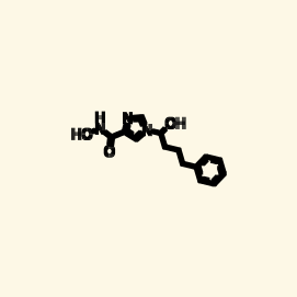 O=C(NO)c1cn(C(O)CCCc2ccccc2)cn1